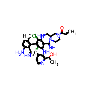 C=CC(=O)N1CCN2C(=N)c3c(Nc4c(C)ccnc4C(C)O)c(F)c(-c4c(C)ccc(N)c4C=N)c(Cl)c3NCC2C1